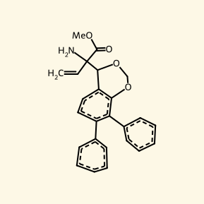 C=CC(N)(C(=O)OC)C1OCOc2c1ccc(-c1ccccc1)c2-c1ccccc1